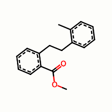 COC(=O)c1ccccc1CCc1ccccc1C